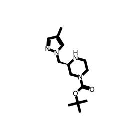 Cc1cnn(C[C@@H]2CN(C(=O)OC(C)(C)C)CCN2)c1